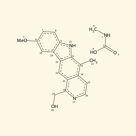 CNC(=O)O.COc1ccc2[nH]c3c(C)c4ccnc(CO)c4cc3c2c1